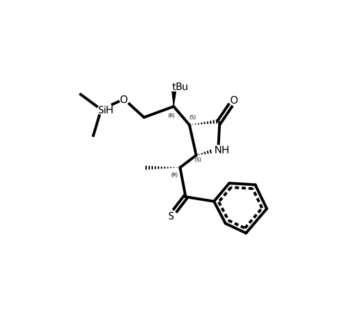 C[C@@H](C(=S)c1ccccc1)[C@H]1NC(=O)[C@H]1[C@@H](CO[SiH](C)C)C(C)(C)C